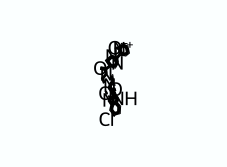 O=C(c1cnc(-c2cccc[n+]2[O-])nc1)N1CCN(S(=O)(=O)c2nc3cc(Cl)ccc3[nH]2)CC1